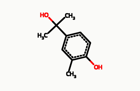 Cc1cc(C(C)(C)O)ccc1O